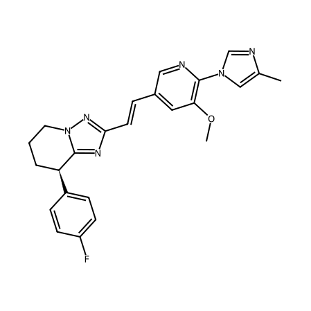 COc1cc(/C=C/c2nc3n(n2)CCC[C@@H]3c2ccc(F)cc2)cnc1-n1cnc(C)c1